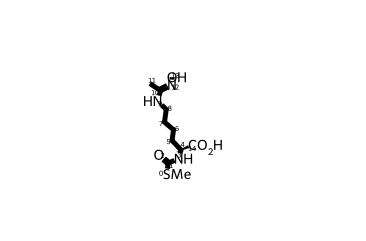 CSC(=O)N[C@@H](CCCCNC(C)=NO)C(=O)O